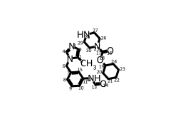 Cc1cncn1Cc1cccc(NC=O)c1.O=C(OC1CCCCC1)N1CCNCC1